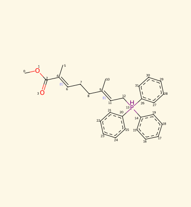 COC(=O)/C(C)=C/CC/C(C)=C/C[PH](c1ccccc1)(c1ccccc1)c1ccccc1